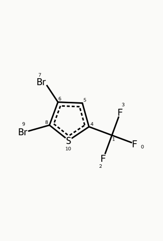 FC(F)(F)c1cc(Br)c(Br)s1